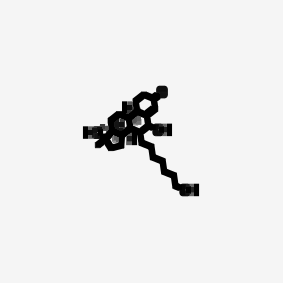 CC1(O)CC[C@H]2[C@@H]3C(CCCCCCCO)C(O)C4=CC(=O)CC[C@]4(C)[C@@H]3CC[C@@]21C